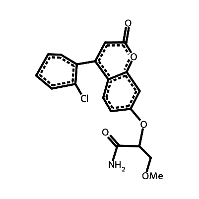 COCC(Oc1ccc2c(-c3ccccc3Cl)cc(=O)oc2c1)C(N)=O